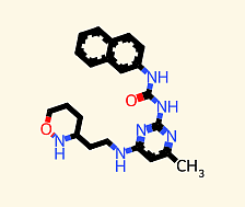 Cc1cc(NCCC2CCCON2)nc(NC(=O)Nc2ccc3ccccc3c2)n1